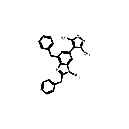 Cc1noc(C)c1-c1cc(Cc2ccccc2)c2nc(Cc3ccccc3)n(N)c2c1